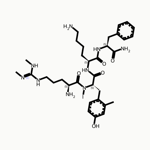 C/N=C(\NC)NCCC[C@H](N)C(=O)N(I)[C@@H](Cc1ccc(O)cc1C)C(=O)N[C@@H](CCCCN)C(=O)N[C@@H](Cc1ccccc1)C(N)=O